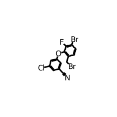 N#Cc1cc(Cl)cc(Oc2c(CBr)ccc(Br)c2F)c1